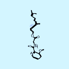 COc1cccnc1C(=O)NCC(=O)OC/C=C(\C)CCC=C(C)C